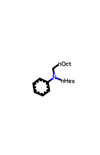 CCCCCCCCCN(CCCCCC)c1ccccc1